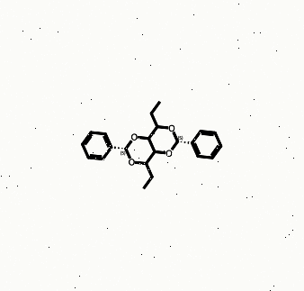 CCC1O[C@H](c2ccccc2)OC2C(CC)O[C@H](c3ccccc3)OC12